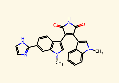 Cn1cc(C2=C(c3cn(C)c4cc(-c5ncc[nH]5)ccc34)C(=O)NC2=O)c2ccccc21